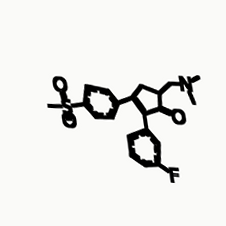 CN(C)CC1CC(c2ccc(S(C)(=O)=O)cc2)=C(c2cccc(F)c2)C1=O